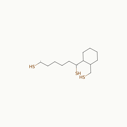 S[CH]CCCC[C](S)C1CCCCC1CS